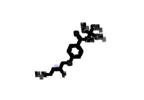 CC(C)(C)NC(=O)c1ccc(OC/C(F)=C/CN)cc1